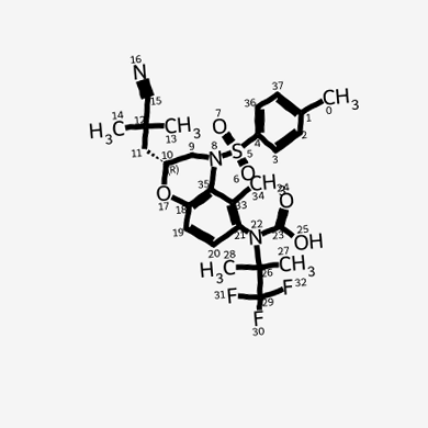 Cc1ccc(S(=O)(=O)N2C[C@@H](CC(C)(C)C#N)Oc3ccc(N(C(=O)O)C(C)(C)C(F)(F)F)c(C)c32)cc1